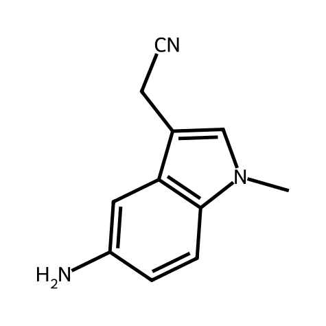 Cn1cc(CC#N)c2cc(N)ccc21